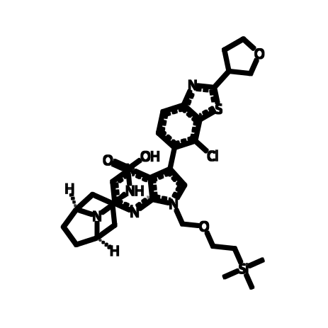 C[Si](C)(C)CCOCn1cc(-c2ccc3nc(C4CCOC4)sc3c2Cl)c2ncc(N3[C@@H]4CC[C@H]3C[C@@H](NC(=O)O)C4)nc21